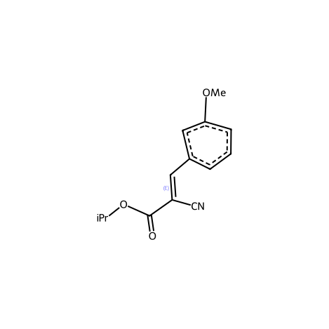 COc1cccc(/C=C(\C#N)C(=O)OC(C)C)c1